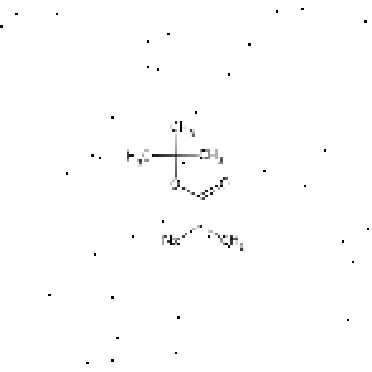 C[CH]([Na])C(=O)OC(C)(C)C